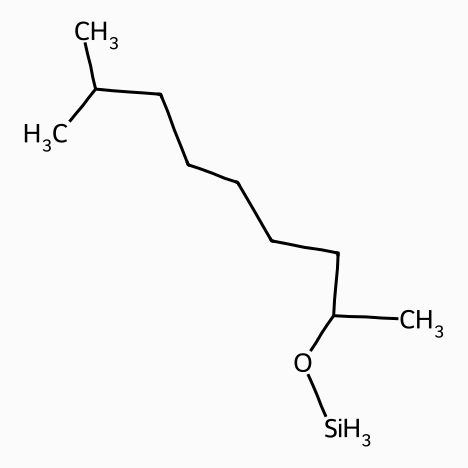 CC(C)CCCCCC(C)O[SiH3]